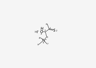 CC(=S)C(O)C[N+](C)(C)C.[I-]